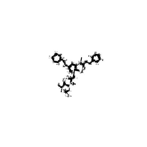 CCC(=O)[C@H](CC(=O)O)NC(=O)Cn1cc(CCc2ccccc2)cc(NC(=O)CCc2ccccc2)c1=O